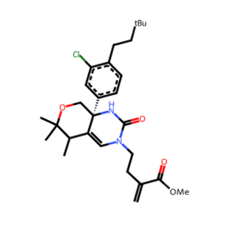 C=C(CCN1C=C2C(C)C(C)(C)OC[C@@]2(c2ccc(CCC(C)(C)C)c(Cl)c2)NC1=O)C(=O)OC